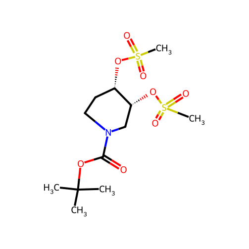 CC(C)(C)OC(=O)N1CC[C@H](OS(C)(=O)=O)[C@H](OS(C)(=O)=O)C1